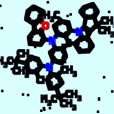 Cc1cc2c3c(c1)-n1c4c(c5cccc(c51)B3c1ccc(N(c3ccc(C(C)(C)C)cc3C)c3ccc(C(C)(C)C)cc3C)cc1N2c1cccc2c1oc1ccccc12)C(C)(C)c1ccccc1-4